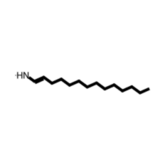 CCCCCCCCCCCCC=C[NH]